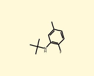 Cc1ccc(F)c(NC(C)(C)C)c1